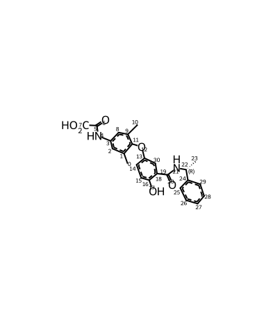 Cc1cc(NC(=O)C(=O)O)cc(C)c1Oc1ccc(O)c(C(=O)N[C@H](C)c2ccccc2)c1